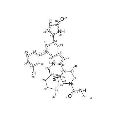 CCNC(=O)N1CC(C)N(c2nc3cc(-c4noc(=O)[nH]4)nc(-c4cncc(Cl)c4)c3n2C[C@H]2CC[C@H](C)CC2)[C@H](C)C1